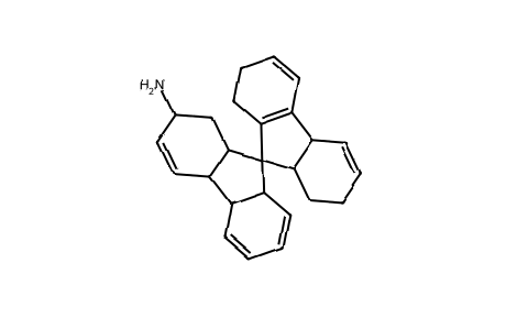 NC1C=CC2C3C=CC=CC3C3(C4=C(C=CCC4)C4C=CCCC43)C2C1